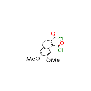 COc1cc2c(cc1OC)C(C(=O)Cl)=C(C(=O)Cl)CC2